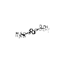 C=C(C)C(=O)OCCOc1cccc2c(OCCOC(=O)C(C)C)cccc12